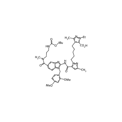 CCn1nc(C)c(CCCCCn2nc(C)cc2C(=O)Nc2nc3cc(C(=O)N(C)CCCNC(=O)OC(C)(C)C)ccc3n2Cc2ccc(OC)cc2OC)c1C(=O)O